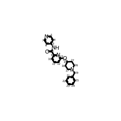 O=C(Nc1ccncc1)c1cccc(OC2CCN(Cc3ccccc3)CC2)n1